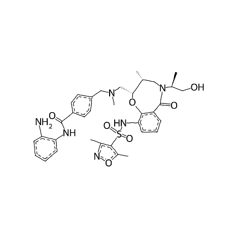 Cc1noc(C)c1S(=O)(=O)Nc1cccc2c1O[C@H](CN(C)Cc1ccc(C(=O)Nc3ccccc3N)cc1)[C@H](C)CN([C@@H](C)CO)C2=O